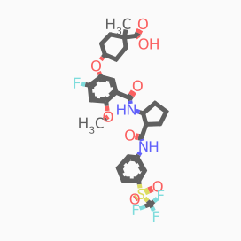 COc1cc(F)c(OC2CCC(C)(C(=O)O)CC2)cc1C(=O)NC1CCCC1C(=O)Nc1cccc(S(=O)(=O)C(F)(F)F)c1